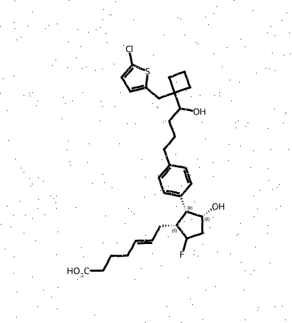 O=C(O)CCCC=CC[C@H]1C(F)C[C@@H](O)[C@H]1c1ccc(CCCC(O)C2(Cc3ccc(Cl)s3)CCC2)cc1